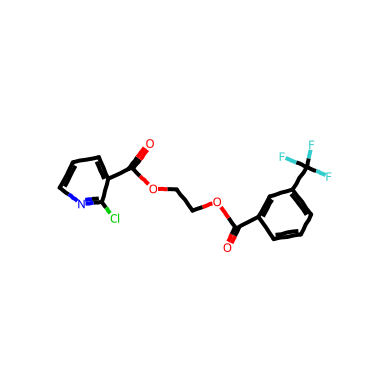 O=C(OCCOC(=O)c1cccnc1Cl)c1cccc(C(F)(F)F)c1